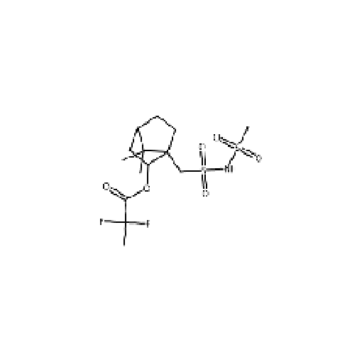 CC(F)(F)C(=O)OC1CC2CCC1(CS(=O)(=O)NS(C)(=O)=O)C2(C)C